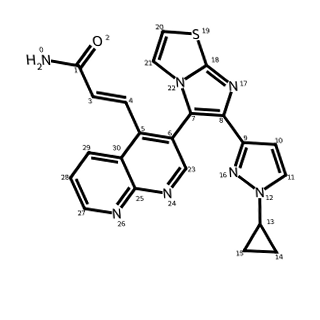 NC(=O)/C=C/c1c(-c2c(-c3ccn(C4CC4)n3)nc3sccn23)cnc2ncccc12